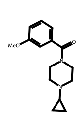 COc1[c]ccc(C(=O)N2CCN(C3CC3)CC2)c1